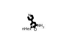 CCCCCCn1cc(-c2ccncc2)cc(N)c1=O